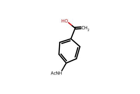 C=C(O)c1ccc(NC(C)=O)cc1